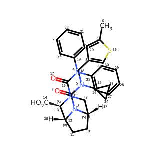 Cc1cc(CN(C(=O)N2[C@H]3CC[C@@H]2[C@@H](C(=O)O)N(C(=O)N(c2ccccc2)c2ccccc2)C3)C2CC2)cs1